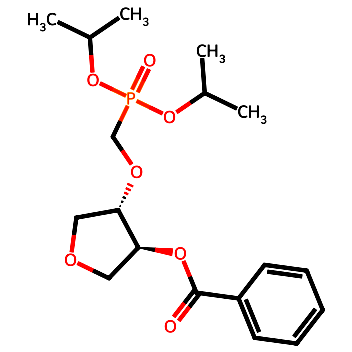 CC(C)OP(=O)(CO[C@H]1COC[C@@H]1OC(=O)c1ccccc1)OC(C)C